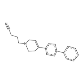 N#CCCCN1CC=C(c2ccc(-c3ccccc3)cc2)CC1